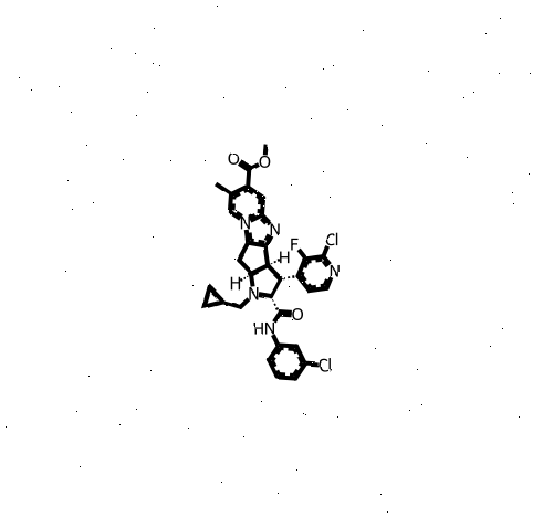 COC(=O)c1cc2nc3c(n2cc1C)C[C@H]1[C@@H]3[C@H](c2ccnc(Cl)c2F)[C@H](C(=O)Nc2cccc(Cl)c2)N1CC1CC1